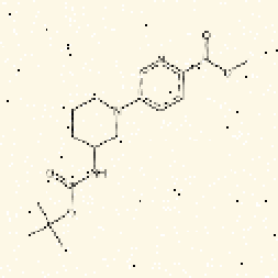 COC(=O)c1ccc(N2CCCC(NC(=O)OC(C)(C)C)C2)cn1